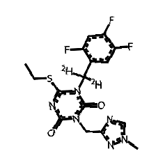 [2H]C([2H])(c1cc(F)c(F)cc1F)n1c(SCC)nc(=O)n(Cc2ncn(C)n2)c1=O